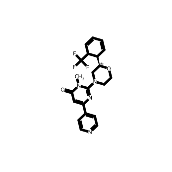 Cn1c(N2CCO[C@H](C3C=CC=CC3C(F)(F)F)C2)nc(-c2ccncc2)cc1=O